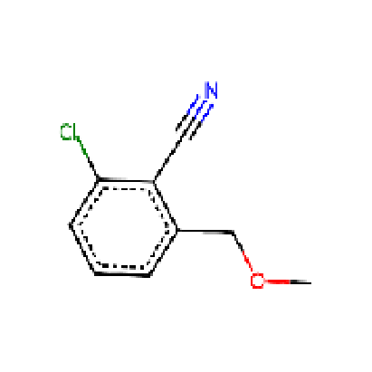 COCc1cccc(Cl)c1C#N